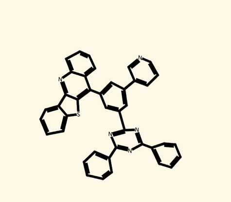 c1ccc(-c2nc(-c3ccccc3)nc(-c3cc(-c4cccnc4)cc(-c4c5ccccc5nc5c4sc4ccccc45)c3)n2)cc1